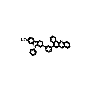 N#Cc1ccc2c3ccc(-c4cccc(-c5cc6cc7ccccc7nc6c6ccccc56)c4)cc3n(-c3ccccc3)c2c1